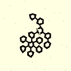 c1ccc(-c2cccc(-c3cc(-c4cccc(-c5ccccc5)c4)nc(-c4cccc(-c5c(-c6ccccc6)c(-c6ccccc6)c(-c6ccccc6)c(-c6ccccc6)c5-c5ccccc5)c4)n3)c2)cc1